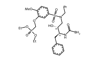 BC(=O)N[C@@H](Cc1ccccc1)[C@H](O)CN(CC(C)C)S(=O)(=O)c1ccc(OC)c(OCP(=O)(OCC)OCC)c1